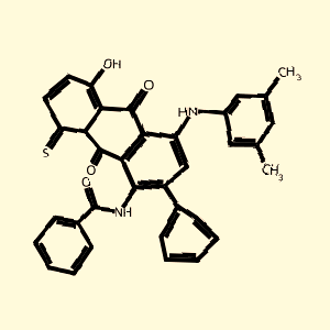 Cc1cc(C)cc(Nc2cc(-c3ccccc3)c(NC(=O)c3ccccc3)c3c2C(=O)C2=C(O)C=CC(=S)C2C3=O)c1